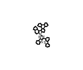 c1ccc2c(c1)ccc1c2c2c3c4ccccc4c4ccccc4c3ccc2n1-c1nc(-c2cccc3c2sc2ccccc23)c2sc3ccccc3c2n1